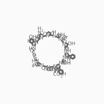 CCCC[C@H]1C(=O)N(C)[C@@H](CCCC)C(=O)N[C@@H](CC(C)C)C(=O)NCCOCC(=O)N[C@@H](Cc2ccc(O)cc2)C(=O)N(C)[C@@H](C)C(=O)N[C@@H](CC(N)=O)C(=O)N2CCCC2C(=O)N[C@@H](CN)C(=O)N[C@@H](CC(C)C)C(=O)N2C[C@H](O)C[C@H]2C(=O)N[C@@H](Cc2c[nH]c3ccccc23)C(=O)N[C@@H](CO)C(=O)N[C@@H](Cc2cn(CC(=O)O)c3ccccc23)C(=O)N1C